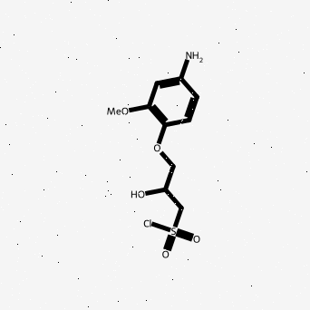 COc1cc(N)ccc1OCC(O)CS(=O)(=O)Cl